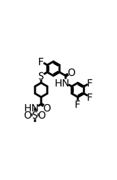 CS(=O)(=O)NC(=O)C1CCC(Sc2cc(C(=O)Nc3cc(F)c(F)c(F)c3)ccc2F)CC1